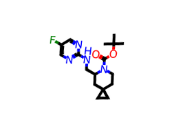 CC(C)(C)OC(=O)N1CCC2(CC2)CC1CNc1ncc(F)cn1